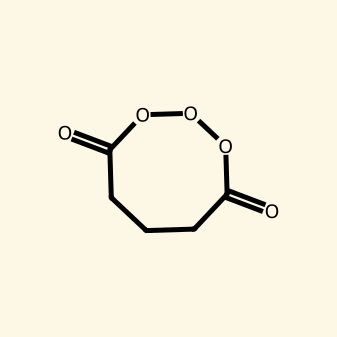 O=C1CCCC(=O)OOO1